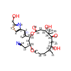 C/C(=C\c1csc(CO)n1)[C@@H]1C[C@H](CC#N)OCCC[C@H](C)[C@H](O)[C@@H](C)C(=O)C(C)(C)[C@@H](O)CC(=O)O1